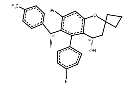 CC(C)c1cc2c(c(-c3ccc(F)cc3)c1[C@H](F)c1ccc(C(F)(F)F)cc1)[C@@H](O)CC1(CCC1)O2